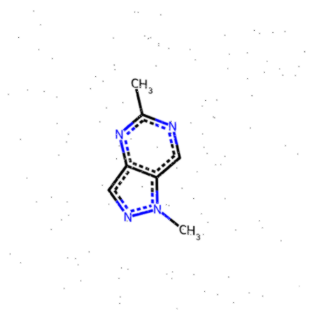 Cc1ncc2c(cnn2C)n1